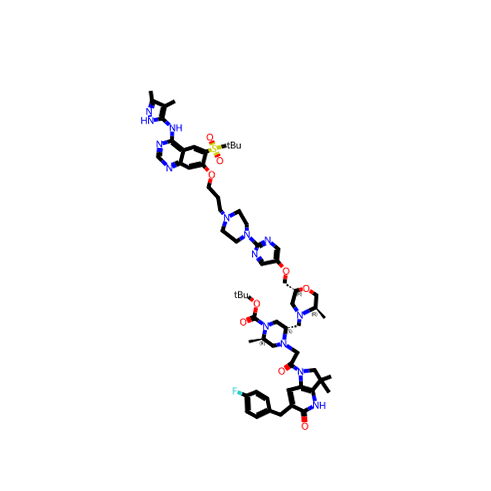 Cc1n[nH]c(Nc2ncnc3cc(OCCCN4CCN(c5ncc(OC[C@H]6CN(C[C@H]7CN(C(=O)OC(C)(C)C)[C@H](C)CN7CC(=O)N7CC(C)(C)c8[nH]c(=O)c(Cc9ccc(F)cc9)cc87)[C@H](C)CO6)cn5)CC4)c(S(=O)(=O)C(C)(C)C)cc23)c1C